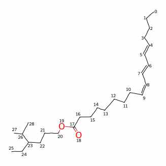 CCCC/C=C/C=C/C=C\CCCCCCCC(=O)OCCCC(CC)C(C)C